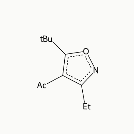 CCc1noc(C(C)(C)C)c1C(C)=O